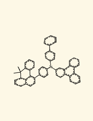 CC1(C)c2ccccc2-c2c(-c3ccc(N(c4ccc(-c5ccccc5)cc4)c4ccc5c6ccccc6c6ccccc6c5c4)cc3)ccc3cccc1c23